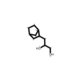 OCC(O)CC1CC2CCC1C2